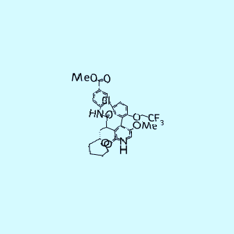 COC(=O)c1ccc(NC(=O)C(C[C@H]2CCCCO2)c2c(-c3cc(Cl)ccc3OCC(F)(F)F)c(OC)c[nH]c2=O)cc1